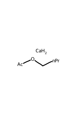 CCCCOC(C)=O.[CaH2]